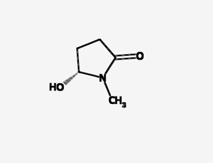 CN1C(=O)CC[C@H]1O